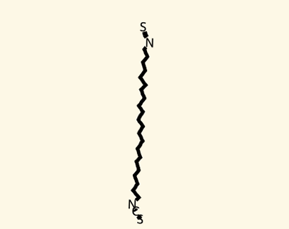 S=C=NCCCCCCCCCCCCCCCCCCCCCCN=C=S